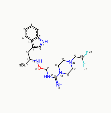 CCCCC(Cc1c[nH]c2ccccc12)NOCNC(=N)N1CCN(CC(F)F)CC1